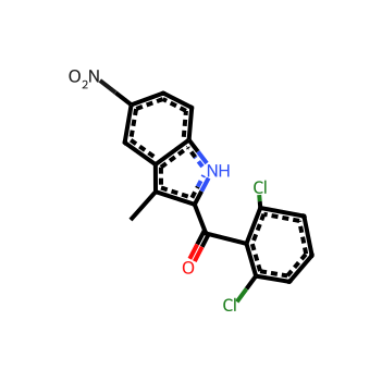 Cc1c(C(=O)c2c(Cl)cccc2Cl)[nH]c2ccc([N+](=O)[O-])cc12